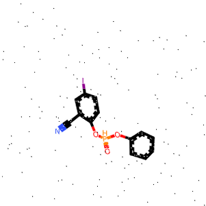 N#Cc1cc(I)ccc1O[PH](=O)Oc1ccccc1